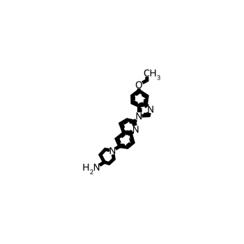 CCOc1ccc2c(c1)ncn2-c1ccc2cc(N3CCC(N)CC3)ccc2n1